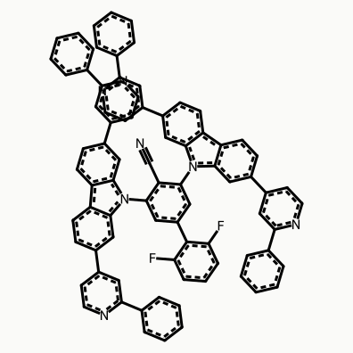 N#Cc1c(-n2c3cc(-c4ccnc(-c5ccccc5)c4)ccc3c3ccc(-c4ccnc(-c5ccccc5)c4)cc32)cc(-c2c(F)cccc2F)cc1-n1c2cc(-c3ccnc(-c4ccccc4)c3)ccc2c2ccc(-c3ccnc(-c4ccccc4)c3)cc21